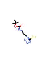 CC(C)(C)OC(=O)NCCCn1nnnc1S